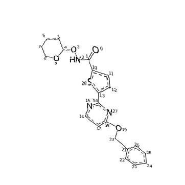 O=C(NOC1CCCCO1)c1ccc(-c2nccc(OCc3ccccc3)n2)s1